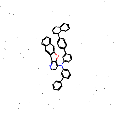 c1ccc(-c2cccc(N(c3cccc(-c4ccc(-c5cccc6ccccc56)cc4)c3)c3ccnc4c3oc3cc5ccccc5cc34)c2)cc1